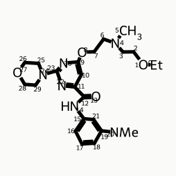 CCOCCN(C)CCOc1cc(C(=O)Nc2cccc(NC)c2)nc(N2CCOCC2)n1